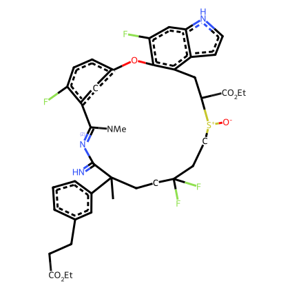 CCOC(=O)CCc1cccc(C2(C)CCC(F)(F)CC[S+]([O-])C(C(=O)OCC)Cc3c(c(F)cc4[nH]ccc34)Oc3ccc(F)c(c3)/C(NC)=N/C2=N)c1